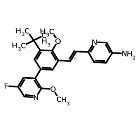 COc1ncc(F)cc1-c1cc(/C=C/c2ccc(N)cn2)c(OC)c(C(C)(C)C)c1